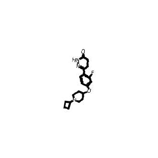 O=C1CCC(c2ccc(OC3CCN(C4CCC4)CC3)cc2F)=NN1